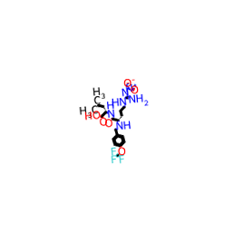 CC(C)C[C@H](NC(=O)[C@H](CCCN/C(N)=N/[N+](=O)[O-])NCc1ccc(OC(F)(F)F)cc1)C(=O)O